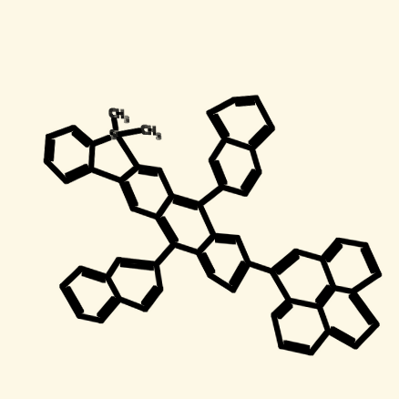 C[Si]1(C)c2ccccc2-c2cc3c(-c4ccc5ccccc5c4)c4ccc(-c5cc6cccc7ccc8cccc5c8c76)cc4c(-c4ccc5ccccc5c4)c3cc21